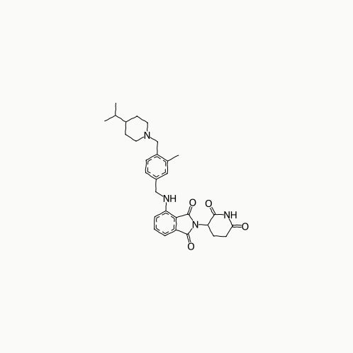 Cc1cc(CNc2cccc3c2C(=O)N(C2CCC(=O)NC2=O)C3=O)ccc1CN1CCC(C(C)C)CC1